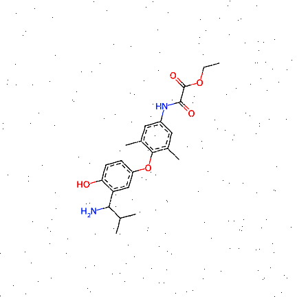 CCOC(=O)C(=O)Nc1cc(C)c(Oc2ccc(O)c(C(N)C(C)C)c2)c(C)c1